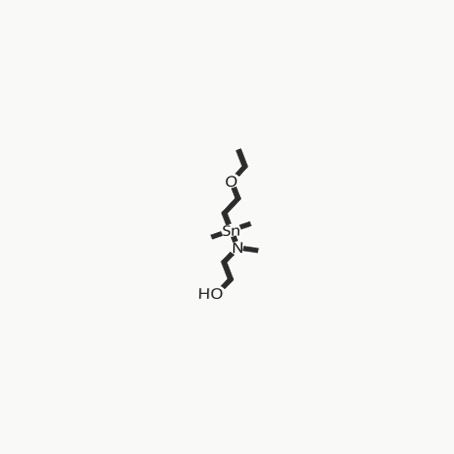 CCOC[CH2][Sn]([CH3])([CH3])[N](C)CCO